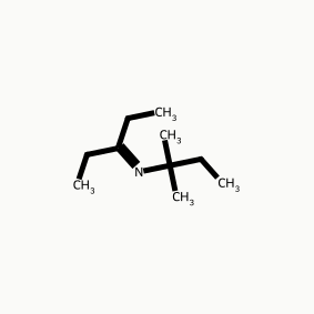 CCC(CC)=NC(C)(C)CC